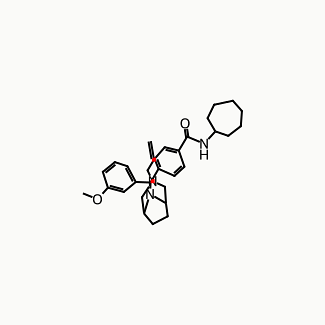 C=CCN1CC2CCC(C1)N2C(c1ccc(C(=O)NC2CCCCCC2)cc1)c1cccc(OC)c1